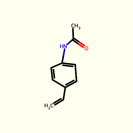 C=Cc1ccc(NC(C)=O)cc1